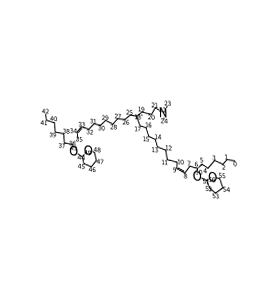 CCCCCC[C@H](C/C=C\CCCCCCCCC([CH]CCN(C)C)CCCCCCCC/C=C\C[C@@H](CCCCCC)OC1CCCCO1)OC1CCCCO1